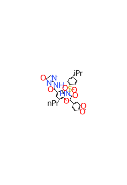 CCCc1cc(C(=O)NC2=NC(=O)CN2C)ccc1OC(C(=O)NS(=O)(=O)c1ccc(C(C)C)cc1)c1ccc2c(c1)OCO2